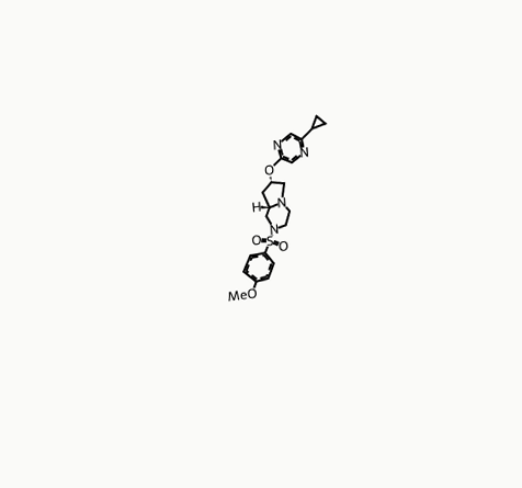 COc1ccc(S(=O)(=O)N2CCN3C[C@@H](Oc4cnc(C5CC5)cn4)C[C@H]3C2)cc1